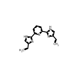 C=Cc1c[nH]c(-c2cccc(-c3nc(C=C)c[nH]3)n2)n1